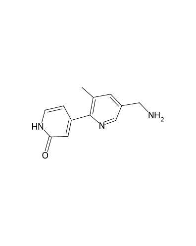 Cc1cc(CN)cnc1-c1cc[nH]c(=O)c1